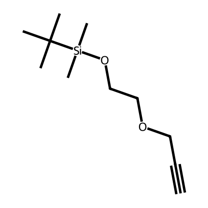 C#CCOCCO[Si](C)(C)C(C)(C)C